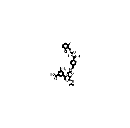 CC(C)Nc1ncc(-c2cc(N)cc(C(=O)O)c2)n(CC(=O)NCc2ccc(C(=N)NC(=O)OCc3c(Cl)cccc3Cl)cc2)c1=O